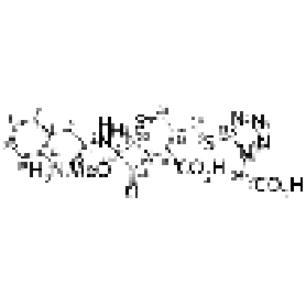 COC1(NC(=O)Cc2ccccc2N)C(=O)N2C(C(=O)O)=C(CSc3nnnn3CC(=O)O)CS[C@@H]21